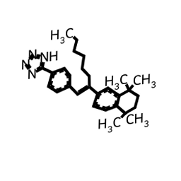 CCCCCCC(=Cc1ccc(-c2nnn[nH]2)cc1)c1ccc2c(c1)C(C)(C)CCC2(C)C